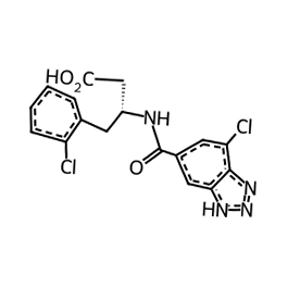 O=C(O)C[C@@H](Cc1ccccc1Cl)NC(=O)c1cc(Cl)c2nn[nH]c2c1